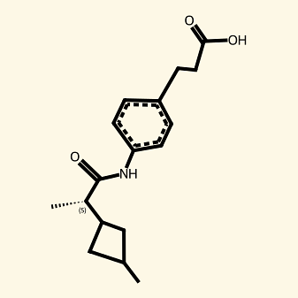 CC1CC([C@H](C)C(=O)Nc2ccc(CCC(=O)O)cc2)C1